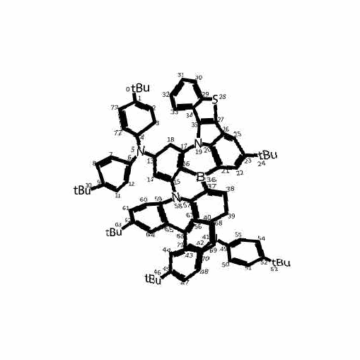 CC(C)(C)C1=CCC(N(c2ccc(C(C)(C)C)cc2)C2C=C3C4=C(C2)n2c5c(cc(C(C)(C)C)cc5c5sc6ccccc6c52)B4C2=CCC(N(c4ccc(C(C)(C)C)cc4)c4ccc(C(C)(C)C)cc4)C=C2N3c2ccc(C(C)(C)C)cc2-c2ccccc2)C=C1